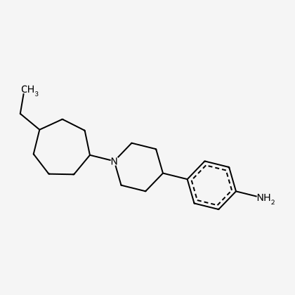 CCC1CCCC(N2CCC(c3ccc(N)cc3)CC2)CC1